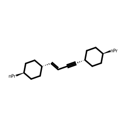 CCC[C@H]1CC[C@H](C#CC=C[C@H]2CC[C@H](CCC)CC2)CC1